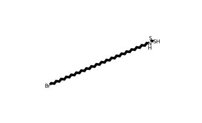 S=C(S)NCCCCCCCCCCCCCCCCCCCCCCCCCCCCCCCCCCCCCCCBr